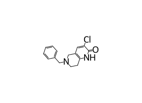 O=c1[nH]c2c(cc1Cl)CN(Cc1ccccc1)CC2